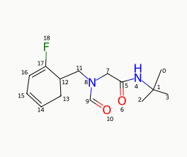 CC(C)(C)NC(=O)CN(C=O)CC1CC=CC=C1F